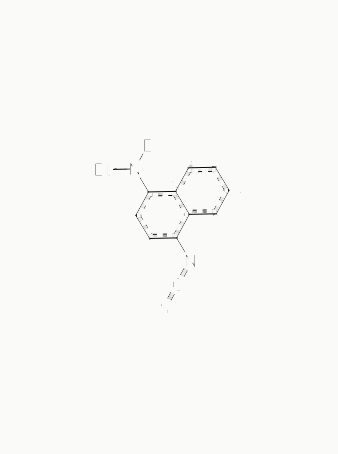 CCN(CC)c1ccc(N=C=S)c2ccccc12